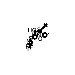 CC(C)(C)C#Cc1cc(N(C(=O)[C@H]2CC[C@H](C)CC2)[C@H]2CC[C@H](Oc3ccc(C(F)(F)F)cn3)CC2)c(C(=O)O)s1